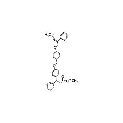 CCOC(=O)CC(c1ccccc1)c1ccc(OCc2ccc(OCC(=NOC)c3ccccc3)cc2)cc1